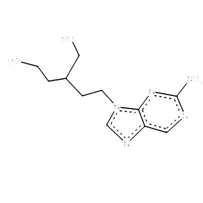 Nc1ncc2ncn(CCC(CO)CCO)c2n1